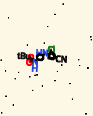 CC(C)(C)OC(=O)NC1CCC(Nc2ccc(C#N)cc2Cl)CC1